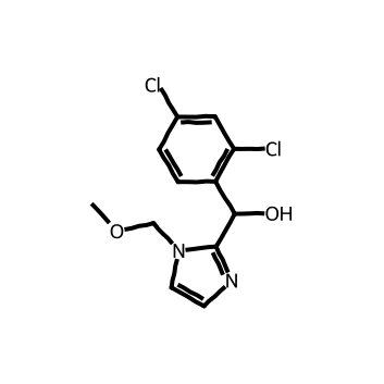 COCn1ccnc1C(O)c1ccc(Cl)cc1Cl